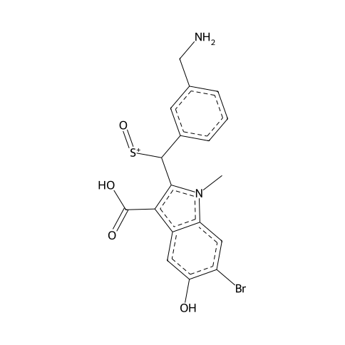 Cn1c(C([S+]=O)c2cccc(CN)c2)c(C(=O)O)c2cc(O)c(Br)cc21